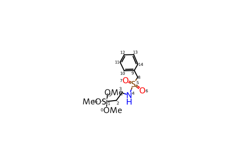 CO[Si](CCNS(=O)(=O)Cc1ccccc1)(OC)OC